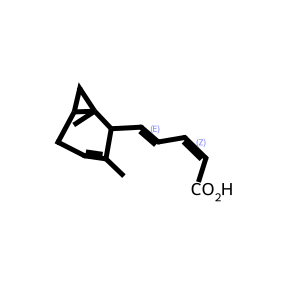 CC1=CCC2CC2(C)C1/C=C/C=C\C(=O)O